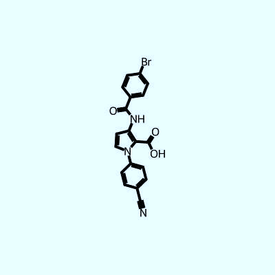 N#Cc1ccc(-n2ccc(NC(=O)c3ccc(Br)cc3)c2C(=O)O)cc1